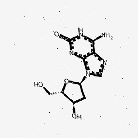 Nc1[nH]c(=O)nc2c1ncn2[C@H]1C[C@@H](O)[C@H](CO)O1